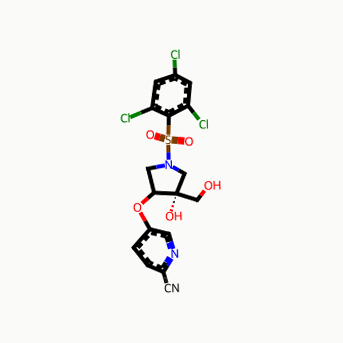 N#Cc1ccc(OC2CN(S(=O)(=O)c3c(Cl)cc(Cl)cc3Cl)C[C@@]2(O)CO)cn1